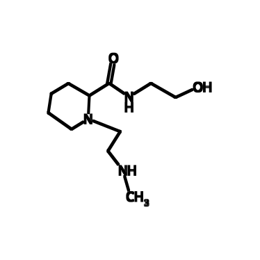 CNCCN1CCCCC1C(=O)NCCO